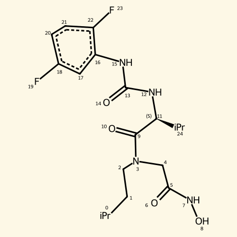 CC(C)CCN(CC(=O)NO)C(=O)[C@@H](NC(=O)Nc1cc(F)ccc1F)C(C)C